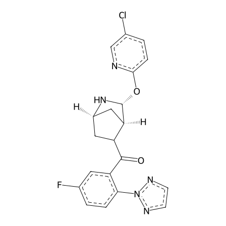 O=C(c1cc(F)ccc1-n1nccn1)C1C[C@@H]2C[C@H]1[C@@H](Oc1ccc(Cl)cn1)N2